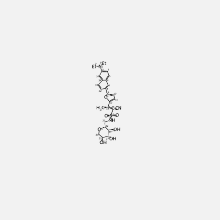 CCN(CC)c1ccc2cc(-c3ccc(/C(C)=C(\C#N)S(=O)(=O)NC[C@H]4OC[C@H](O)[C@@H](O)[C@@H]4O)o3)ccc2c1